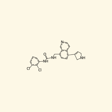 O=C(NCc1ccc(C2=CCNC2)c2ccncc12)Nc1cccc(Cl)c1Cl